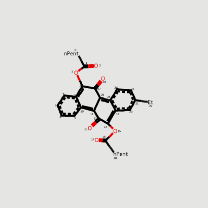 CCCCCC(=O)OC1=c2ccccc2=C2C(=O)C(OC(=O)CCCCC)=c3cc(CC)ccc3=C2C1=O